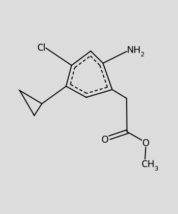 COC(=O)Cc1cc(C2CC2)c(Cl)cc1N